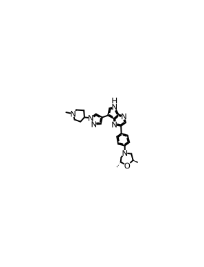 C[C@@H]1CN(c2ccc(-c3cnc4[nH]cc(-c5cnn(C6CCN(C)CC6)c5)c4n3)cc2)C[C@@H](C)O1